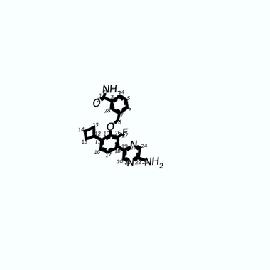 NC(=O)c1cccc(COc2c(C3CCC3)ccc(-c3cnc(N)cn3)c2F)c1